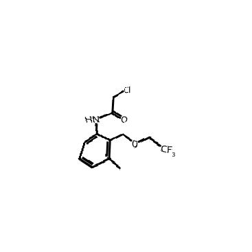 Cc1cccc(NC(=O)CCl)c1COCC(F)(F)F